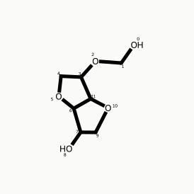 OCOC1COC2C(O)COC12